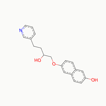 Oc1ccc2cc(OCC(O)CCc3cccnc3)ccc2c1